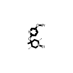 CCN1C[C@H](C)C(C)(Oc2ccc(OC(C)C)cn2)C[C@@H]1C